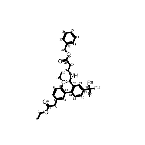 CCOC(=O)Cc1ccc(OCC)c(-c2ccc(C(F)(F)F)cc2CNCCC(=O)OCc2ccccc2)c1